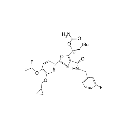 CC(C)(C)C[C@H](OC(N)=O)c1oc(-c2ccc(OC(F)F)c(OCC3CC3)c2)nc1C(=O)NCc1cccc(F)c1